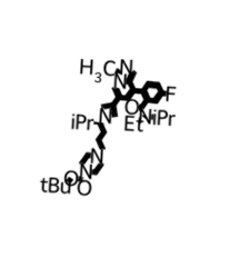 CCN(C(=O)c1cc(F)ccc1-c1cc(C2CN([C@@H](CCCN3CCN(C(=O)OC(C)(C)C)CC3)C(C)C)C2)cn2c(C)ncc12)C(C)C